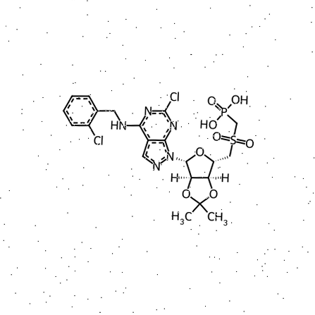 CC1(C)O[C@@H]2[C@H](O1)[C@@H](CS(=O)(=O)CP(=O)(O)O)O[C@H]2n1ncc2c(NCc3ccccc3Cl)nc(Cl)nc21